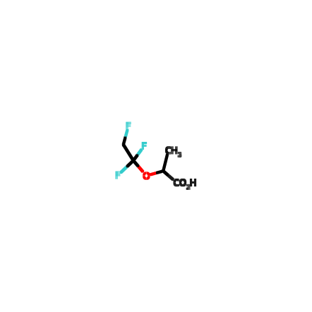 CC(OC(F)(F)CF)C(=O)O